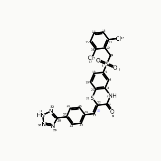 O=C1Nc2cc(S(=O)(=O)Cc3c(Cl)cccc3Cl)ccc2S/C1=C\c1ccc(-c2nn[nH]n2)cc1